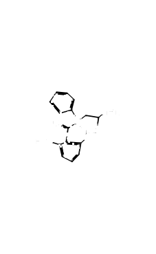 CCCCC(CC)CP(=O)(C(=O)c1c(C(F)(F)F)cccc1C(F)(F)F)c1ccccc1